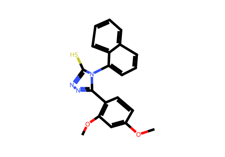 COc1ccc(-c2nnc(S)n2-c2cccc3ccccc23)c(OC)c1